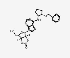 O=S1O[C@@H]2[C@H](O1)[C@@H](CO)O[C@H]2n1cnc2c(NC3CCC[C@H]3OCc3ccccc3)ncnc21